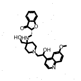 COc1ccc2nccc(C(O)CN3CCC(CO)(NC[C@H]4Oc5ccccc5C4=O)CC3)c2c1